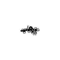 CCOC(=O)OCOC(=O)c1c(F)ccc2c1OB(O)C(NC(=O)CSC)C2